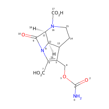 NC(=O)OCC1=C(C(=O)O)N2C(=O)[C@@H]3[C@H]2C1CCN3C(=O)O